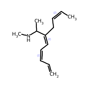 C=C/C=C\C=C(\C/C=C\C)C(C)NC